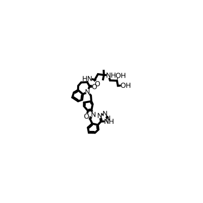 CC(C)(CC(=O)N[C@@H]1CCc2ccccc2N(Cc2ccc3oc(-c4ccccc4-c4nnn[nH]4)nc3c2)C1=O)NC[C@H](O)CO